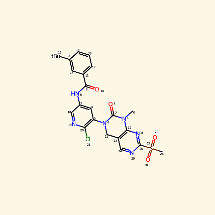 CN1C(=O)N(c2cc(NC(=O)c3cccc(C(C)(C)C)c3)cnc2Cl)Cc2cnc(S(C)(=O)=O)nc21